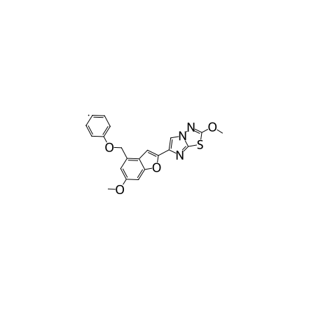 COc1cc(COc2cc[c]cc2)c2cc(-c3cn4nc(OC)sc4n3)oc2c1